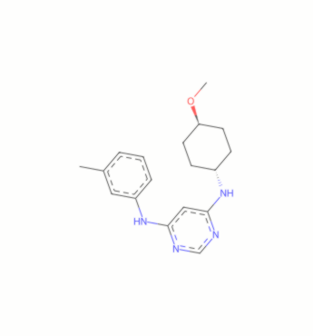 CO[C@H]1CC[C@H](Nc2cc(Nc3cccc(C)c3)ncn2)CC1